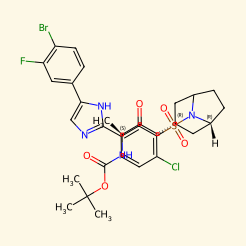 C[C@H](NC(=O)OC(C)(C)C)C(=O)C[C@@H]1CC2CC[C@H](C1)N2S(=O)(=O)c1cc(-c2ncc(-c3ccc(Br)c(F)c3)[nH]2)ccc1Cl